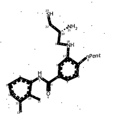 CCCCCc1ccc(C(=O)Nc2cccc(C)c2C)cc1NC[C@@H](N)CS